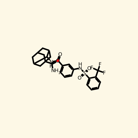 NC(=O)C12CC3CC(C1)C(NC(=O)c1cccc(NS(=O)(=O)c4ccccc4C(F)(F)F)c1)C(C3)C2